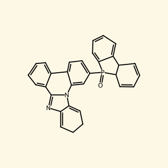 O=P1(c2ccc3c4ccccc4c4nc5c(n4c3c2)=CCCC=5)c2ccccc2C2C=CC=CC21